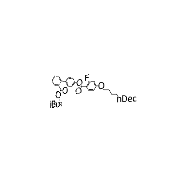 CCCCCCCCCCCCCCOc1ccc(C(=O)Oc2ccc(-c3ccccc3C(=O)OC[C@@H](C)CC)cc2)c(F)c1